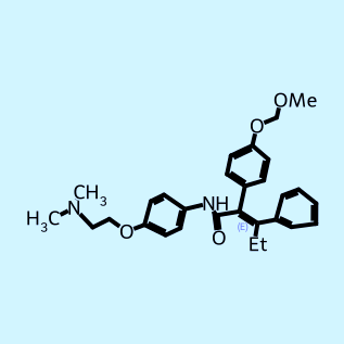 CC/C(=C(\C(=O)Nc1ccc(OCCN(C)C)cc1)c1ccc(OCOC)cc1)c1ccccc1